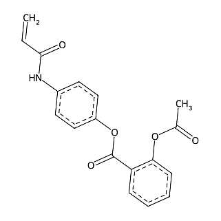 C=CC(=O)Nc1ccc(OC(=O)c2ccccc2OC(C)=O)cc1